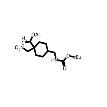 CC(=O)OC(C)C1(C[N+](=O)[O-])CCC(CNC(=O)OC(C)(C)C)CC1